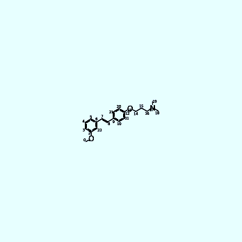 COc1cccc(C=Cc2ccc(OCCCN(C)C)cc2)c1